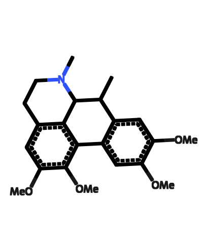 COc1cc2c(cc1OC)C(C)C1c3c(cc(OC)c(OC)c3-2)CCN1C